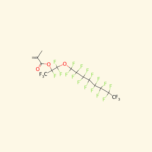 C=C(C)C(=O)OC(F)(C(F)(F)F)C(F)(F)OC(F)(F)C(F)(F)C(F)(F)C(F)(F)C(F)(F)C(F)(F)C(F)(F)C(F)(F)F